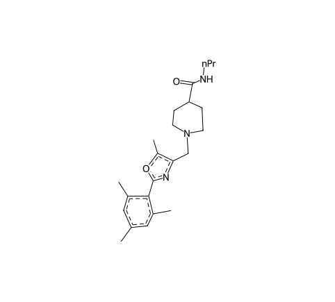 CCCNC(=O)C1CCN(Cc2nc(-c3c(C)cc(C)cc3C)oc2C)CC1